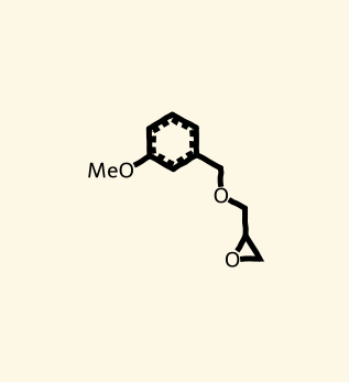 COc1cccc(COCC2CO2)c1